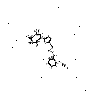 CCc1cc(-c2ccc(CNCc3ccccc3OC(F)(F)F)o2)c(C)[nH]c1=O